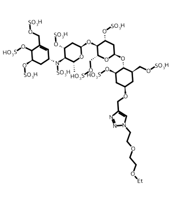 CCOCCOCCn1cc(CO[C@@H]2C[C@H](COS(=O)(=O)O)[C@@H](O[C@@H]3C[C@@H](OS(=O)(=O)O)[C@H](O[C@@H]4C[C@@H](OS(=O)(=O)O)[C@H](N([C@H]5C=C(COS(=O)(=O)O)C(OS(=O)(=O)O)[C@H](OS(=O)(=O)O)C5)S(=O)(=O)O)[C@@H](C)O4)[C@@H](COS(=O)(=O)O)O3)[C@H](OS(=O)(=O)O)C2)nn1